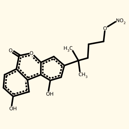 CC(C)(CCCO[N+](=O)[O-])c1cc(O)c2c(c1)oc(=O)c1ccc(O)cc12